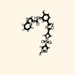 Cc1ccc(-c2noc(C3CN(S(=O)(=O)c4cnn(C)c4)C3)n2)cc1NC(=O)c1cnc2ccccn12